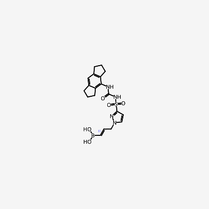 O=C(Nc1c2c(cc3c1CCC3)CCC2)NS(=O)(=O)c1ccn(C/C=C/B(O)O)n1